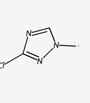 [CH2]n1cnc(Cl)n1